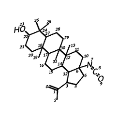 C=C(C)C1CCC2(N=C=O)CCC3(C)C(CCC4C5(C)CCC(O)C(C)(C)C5CCC43C)C12